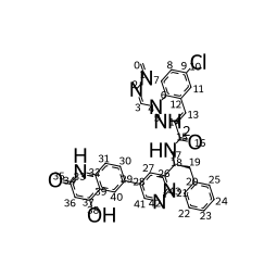 C=N/N=C\N(N)c1ccc(Cl)cc1/C=C/C(=O)N[C@@H](Cc1ccccc1)c1cc(-c2ccc3[nH]c(=O)cc(O)c3c2)cnn1